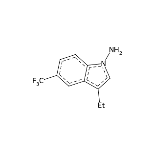 CCc1cn(N)c2ccc(C(F)(F)F)cc12